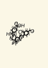 O=Cc1ccc(-n2cnc(-c3nc(NC4CCN(C(=O)O)CC4)ncc3C(F)(F)F)c2)c(Cl)c1